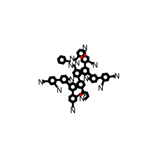 N#Cc1ccc(-c2ccc3c(c2)c2cc(-c4ccc(C#N)cc4C#N)ccc2n3-c2cc(-c3cccnc3)ccc2-c2ccc(-c3nc(-c4ccccc4)nc(-c4ccccc4)n3)cc2-n2c3ccc(-c4ccc(C#N)cc4C#N)cc3c3cc(-c4ccc(C#N)cc4C#N)ccc32)c(C#N)c1